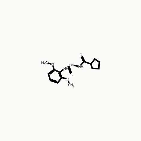 COc1cccc(OC)c1NC(=S)NNC(=O)C1CCCC1